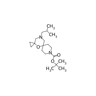 CC(C)CN1CC2(CCN(C(=O)OC(C)(C)C)CC2)OC2(CC2)C1